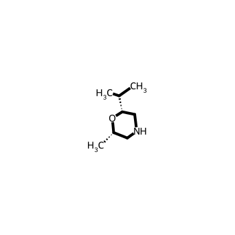 CC(C)[C@@H]1CNC[C@H](C)O1